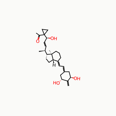 C=C1[C@H](O)CC(=C/C=C2\CCC[C@]3(C)[C@@H]([C@@H](C)/C=C/[C@H](O)C4(C(C)=O)CC4)CC[C@@H]23)C[C@H]1O